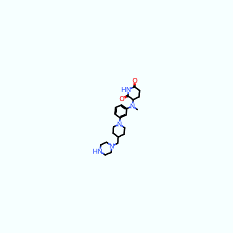 CN(c1cccc(N2CCC(CN3CCNCC3)CC2)c1)C1CCC(=O)NC1=O